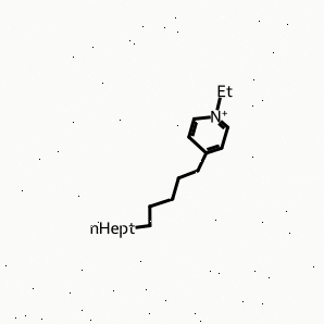 CCCCCCCCCCCCc1cc[n+](CC)cc1